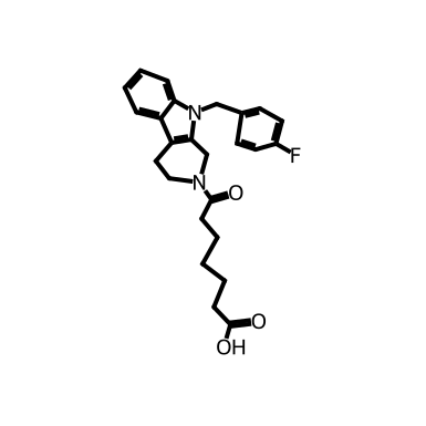 O=C(O)CCCCCC(=O)N1CCc2c(n(Cc3ccc(F)cc3)c3ccccc23)C1